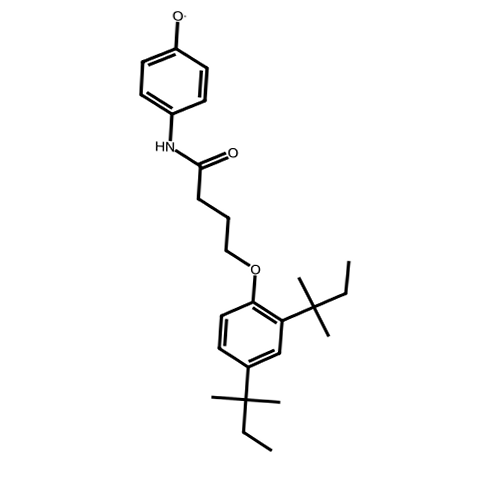 CCC(C)(C)c1ccc(OCCCC(=O)Nc2ccc([O])cc2)c(C(C)(C)CC)c1